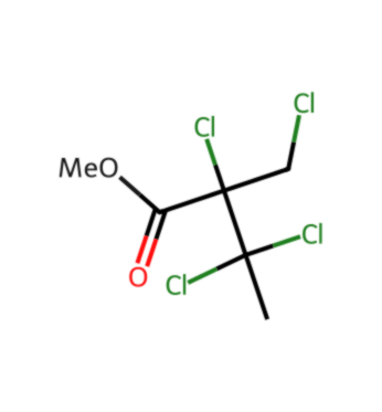 COC(=O)C(Cl)(CCl)C(C)(Cl)Cl